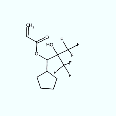 C=CC(=O)OC(C1CCCC1)C(O)(C(F)(F)F)C(F)(F)F